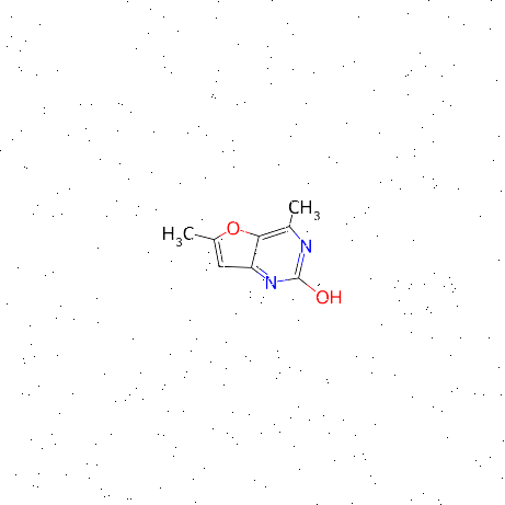 Cc1cc2nc(O)nc(C)c2o1